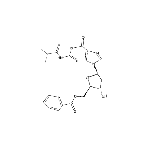 CC(C)C(=O)Nc1nc2c(ncn2[C@H]2C[C@H](O)[C@@H](COC(=O)c3ccccc3)O2)c(=O)[nH]1